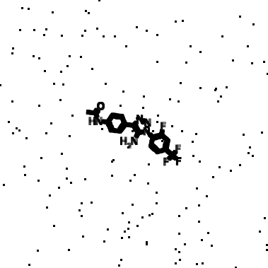 CC(=O)Nc1ccc(-c2nnn(-c3ccc(C(F)(F)F)cc3F)c2N)cc1